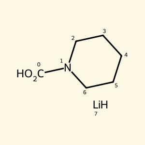 O=C(O)N1CCCCC1.[LiH]